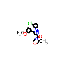 CC1COCCN1C(=O)c1cc(-c2cccc(OC(F)(F)F)c2)n(-c2cccc(Cl)c2)n1